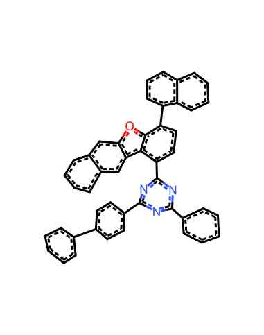 c1ccc(-c2ccc(-c3nc(-c4ccccc4)nc(-c4ccc(-c5cccc6ccccc56)c5oc6cc7ccccc7cc6c45)n3)cc2)cc1